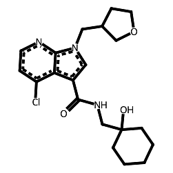 O=C(NCC1(O)CCCCC1)c1cn(CC2CCOC2)c2nccc(Cl)c12